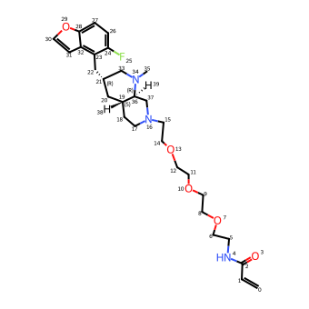 C=CC(=O)NCCOCCOCCOCCN1CC[C@@H]2C[C@H](Cc3c(F)ccc4occc34)CN(C)[C@H]2C1